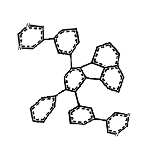 c1ccc(-c2cc(-c3cccc(-c4cncnc4)c3)c3c(c2-c2cccc(-c4cncnc4)c2)-c2cccc4cccc-3c24)cc1